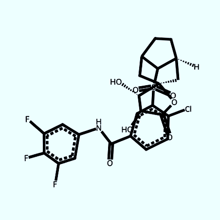 O=C(Nc1cc(F)c(F)c(F)c1)c1ccc(Cl)c(S(=O)(=O)C2C3CC[C@H]2C[C@]2(C3)OC(=O)[C@@H](O)[C@@H]2O)c1